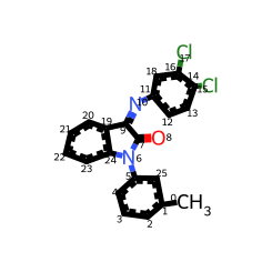 Cc1cccc(N2C(=O)/C(=N\c3ccc(Cl)c(Cl)c3)c3ccccc32)c1